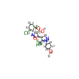 COC(=O)c1c(-c2c(F)cccc2Cl)noc1-c1cnn(-c2ccc(OC)cc2)c1C(F)(F)F